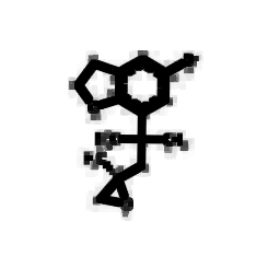 CC(C)(C[C@]1(C(F)(F)F)CO1)c1cc(Br)cc2c1OCC2